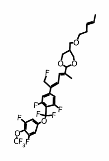 C/C=C/CCOCC1COC(/C(C)=C/C=C(\CF)c2cc(F)c(C(F)(F)Oc3cc(F)c(OC(F)(F)F)c(F)c3)c(F)c2)OC1